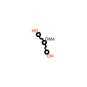 [11CH3]Oc1cc(/C=C/c2ccc(O)cc2)ccc1/C=C/c1ccc(O)cc1